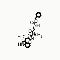 C[C@H](c1c[nH]c2ccccc12)[C@@H]1OC(N(C)C(=O)CCNC(=O)OCc2ccccc2)=NC1=O